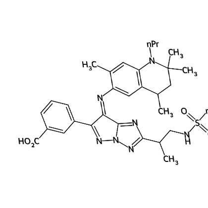 CCCCS(=O)(=O)NCC(C)c1nc2n(n1)N=C(c1cccc(C(=O)O)c1)/C2=N/c1cc2c(cc1C)N(CCC)C(C)(C)CC2C